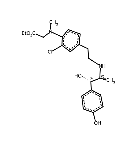 CCOC(=O)CN(C)c1ccc(CCN[C@@H](C)[C@@H](O)c2ccc(O)cc2)cc1Cl